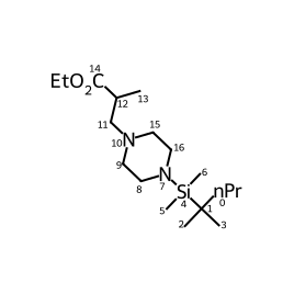 CCCC(C)(C)[Si](C)(C)N1CCN(CC(C)C(=O)OCC)CC1